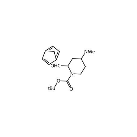 C1=CC2=CC=C1C2.CNC1CCN(C(=O)OC(C)(C)C)C(C=O)C1